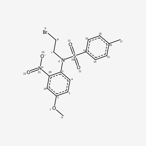 COc1ccc(N(CCBr)S(=O)(=O)c2ccc(C)cc2)c([N+](=O)[O-])c1